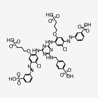 O=S(=O)(O)CCCOc1cc(N=Nc2cccc(S(=O)(=O)O)c2)c(Cl)cc1Nc1nc(NCc2ccc(S(=O)(=O)O)cc2)nc(Nc2cc(Cl)c(N=Nc3cccc(S(=O)(=O)O)c3)cc2OCCCS(=O)(=O)O)n1